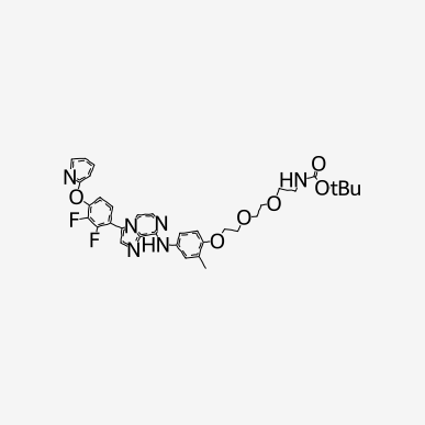 Cc1cc(Nc2nccn3c(-c4ccc(Oc5ccccn5)c(F)c4F)cnc23)ccc1OCCOCCOCCNC(=O)OC(C)(C)C